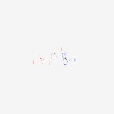 Nc1ncnc2c1ncn2[C@@H]1O[C@H](COP(=O)(O)O)C[C@H]1O